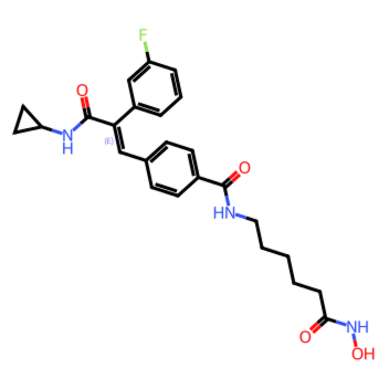 O=C(CCCCCNC(=O)c1ccc(/C=C(/C(=O)NC2CC2)c2cccc(F)c2)cc1)NO